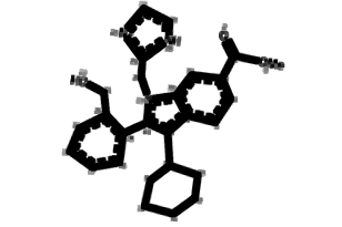 COC(=O)c1ccc2c(C3CCCCC3)c(-c3ccccc3CO)n(Cc3ncc[nH]3)c2c1